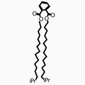 CC(C)CCCCCCCCCCCCCCOC(=O)c1ccccc1C(=O)OCCCCCCCCCCCCCCC(C)C